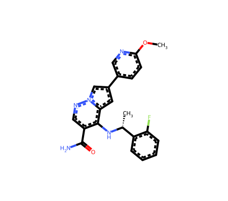 COc1ccc(-c2cc3c(N[C@H](C)c4ccccc4F)c(C(N)=O)cnn3c2)cn1